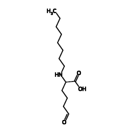 CCCCCCCCNC(CCCC=O)C(=O)O